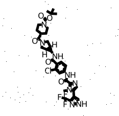 Cn1c(-c2c[nH]nc2C(F)(F)F)cnc1C(=O)Nc1ccc(C(=O)NC2[C@H]3CN(C(=O)C4CCN(C(=O)OC(C)(C)C)CC4)C[C@@H]23)c(Cl)c1